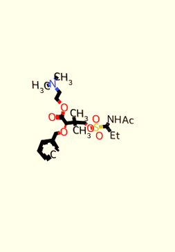 CCC(NC(C)=O)S(=O)(=O)OCC(C)(C)[C@@H](OCc1ccccc1)C(=O)OCCN(C)C